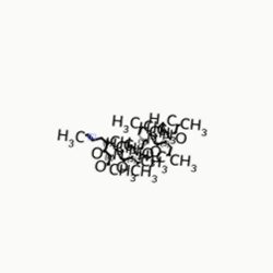 C/C=C/C[C@@H](C)C(=O)[C@@H](C(C)=O)N(C)C(=O)[C@H](C(C)C)N(C)C(=O)[C@H](CC(C)C)N(C)C(=O)[C@H](CC(C)C)N(C)C(=O)C(C)C